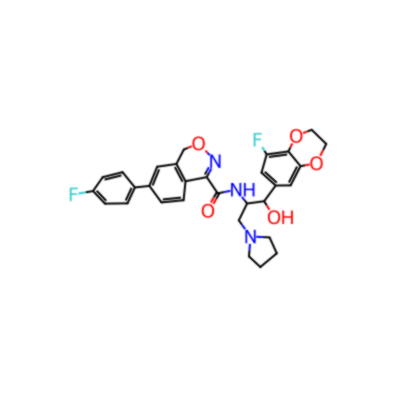 O=C(NC(CN1CCCC1)C(O)c1cc(F)c2c(c1)OCCO2)C1=NOCc2cc(-c3ccc(F)cc3)ccc21